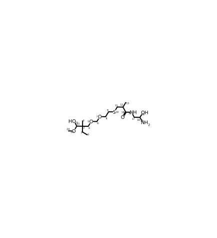 CCC(C)(COCOCCSCC(C)C(=O)NCC(N)O)C(O)OC